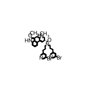 COc1[nH]c2cccc3c2c1C[C@@H]1C3=C[C@@H](C(=O)N(CCCc2cncc(Br)c2)CCCc2cncc(Br)c2)CN1C